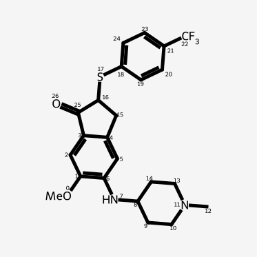 COc1cc2c(cc1NC1CCN(C)CC1)CC(Sc1ccc(C(F)(F)F)cc1)C2=O